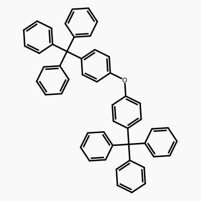 c1ccc(C(c2ccccc2)(c2ccccc2)c2ccc(Oc3ccc(C(c4ccccc4)(c4ccccc4)c4ccccc4)cc3)cc2)cc1